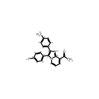 CC(=O)c1cccn2c(-c3ccc(F)cc3)c(-c3ccc(C)cc3)nc12